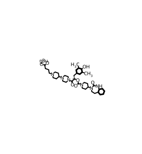 CCCCOC(=O)CCCN1CCC(N2CCN(C(=O)[C@@H](Cc3cc(C)c(O)c(C)c3)OC(=O)N3CCC(N4CCc5ccccc5NC4=O)CC3)CC2)CC1